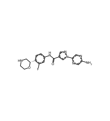 Nc1cnc(-n2cc(C(=O)Nc3ccc([C@H]4CNCCO4)c(F)c3)cn2)cn1